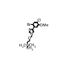 COc1cc(-c2cn(COCCS(C)(C)C)cn2)c(Br)cc1Cl